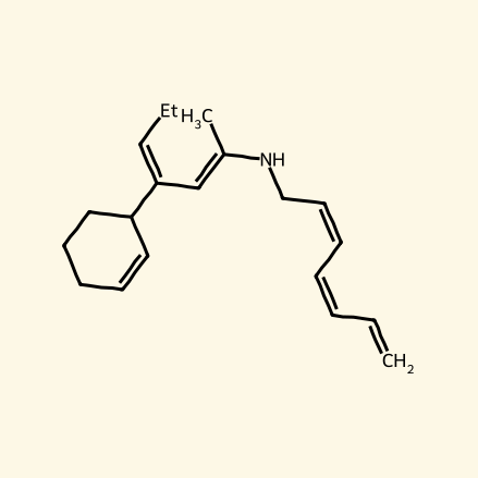 C=C/C=C\C=C/CN/C(C)=C/C(=C\CC)C1C=CCCC1